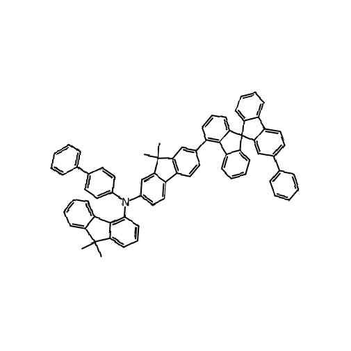 CC1(C)c2cc(-c3cccc4c3-c3ccccc3C43c4ccccc4-c4ccc(-c5ccccc5)cc43)ccc2-c2ccc(N(c3ccc(-c4ccccc4)cc3)c3cccc4c3-c3ccccc3C4(C)C)cc21